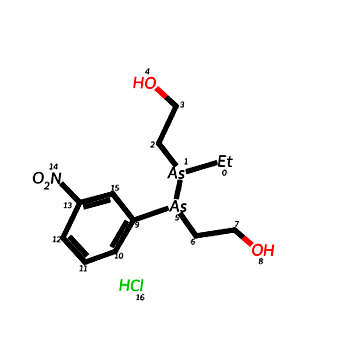 CC[As](CCO)[As](CCO)c1cccc([N+](=O)[O-])c1.Cl